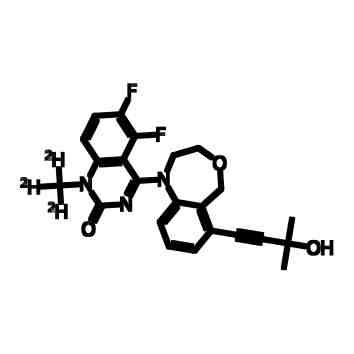 [2H]C([2H])([2H])n1c(=O)nc(N2CCOCc3c(C#CC(C)(C)O)cccc32)c2c(F)c(F)ccc21